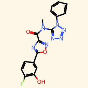 CN(C(=O)c1noc(-c2ccc(F)c(O)c2)n1)c1nnnn1-c1ccccc1